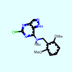 CCCCN(Cc1c(OC)cccc1OC)c1nc(Cl)nc2cn[nH]c12